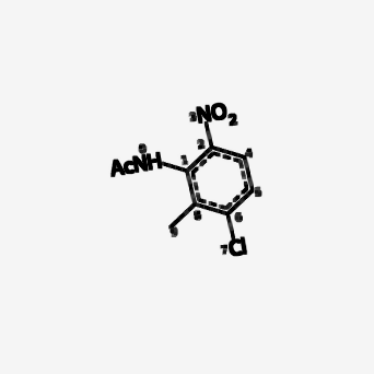 CC(=O)Nc1c([N+](=O)[O-])ccc(Cl)c1C